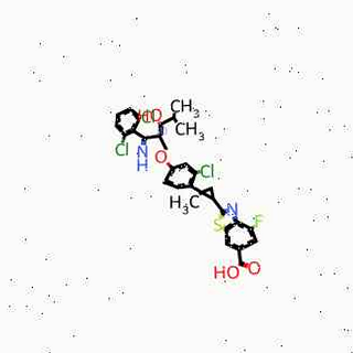 CC(C)/C(O)=C(\COc1ccc(C2(C)CC2c2nc3c(F)cc(C(=O)O)cc3s2)c(Cl)c1)C(=N)c1c(Cl)cccc1Cl